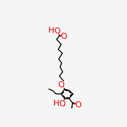 CCCc1c(OCCCCCCCCCCC(=O)O)ccc(C(C)=O)c1O